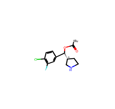 CC(C)(C)C(=O)OC(c1ccc(Cl)c(F)c1)[C@@H]1CCNC1